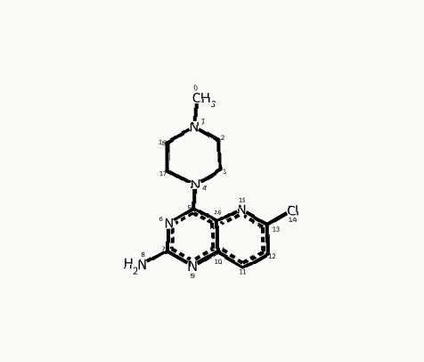 CN1CCN(c2nc(N)nc3ccc(Cl)nc23)CC1